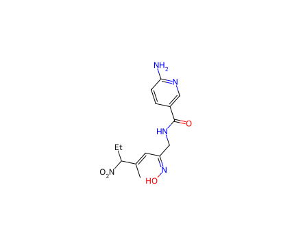 CCC(/C(C)=C/C(CNC(=O)c1ccc(N)nc1)=N\O)[N+](=O)[O-]